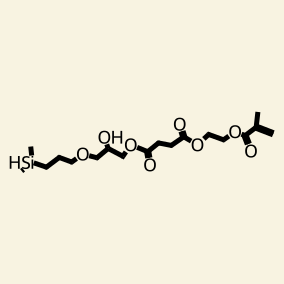 C=C(C)C(=O)OCCOC(=O)CCC(=O)OCC(O)COCCC[SiH](C)C